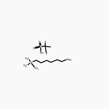 CCCCCCCCCCCCCCCC[N+](C)(C)C.O=S(=O)(O)C(F)(F)F